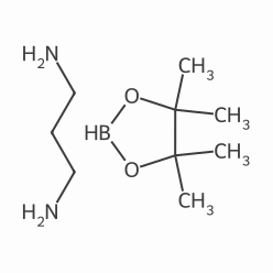 CC1(C)OBOC1(C)C.NCCCN